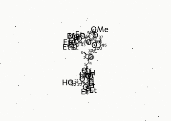 C=C1C[C@H](CCC23C[C@H]4O[C@H]5[C@@H](O2)[C@@H](O[Si](CC)(CC)CC)[C@H](CCCO)O[C@H]5[C@H]4O3)O[C@H]1CC[C@H]1C[C@@H](C)C(=C)[C@@H](C[C@@H]2O[C@H](C[C@@H](CO[Si](CC)(CC)CC)O[Si](CC)(CC)CC)[C@H](OC)[C@H]2CC(=O)OC)O1